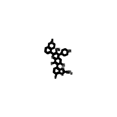 CN1CCc2c(cccc2-c2nc3c(F)c(-c4ccc(F)c5sc(N)nc45)c(Cl)cc3c(N3CCNCC3)c2C#N)C1